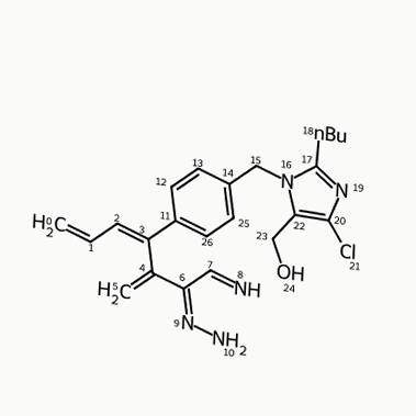 C=C/C=C(\C(=C)/C(C=N)=N/N)c1ccc(Cn2c(CCCC)nc(Cl)c2CO)cc1